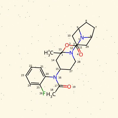 CCOC(=O)N1C2CCC1CC(N1CCC(N(C(C)=O)c3ccccc3F)CC1)C2